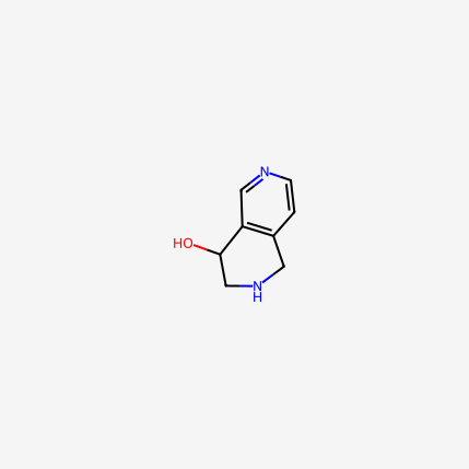 OC1CNCc2ccncc21